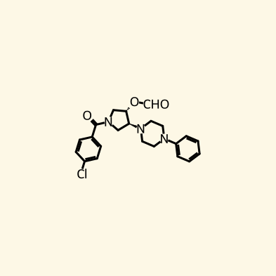 O=CO[C@H]1CN(C(=O)c2ccc(Cl)cc2)C[C@@H]1N1CCN(c2ccccc2)CC1